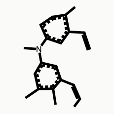 C=Cc1cc(N(C)c2cc(C)c(C)c(/C=C\C)c2)ccc1C